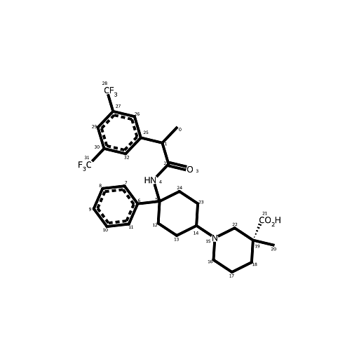 CC(C(=O)NC1(c2ccccc2)CCC(N2CCC[C@@](C)(C(=O)O)C2)CC1)c1cc(C(F)(F)F)cc(C(F)(F)F)c1